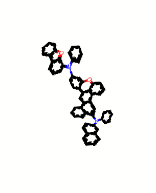 c1ccc(N(c2ccc3ccccc3c2)c2cc3c4cccc5c4c(cc3c3ccccc23)-c2ccc(N(c3ccccc3)c3cccc4c3oc3ccccc34)cc2O5)cc1